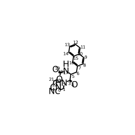 N#CCNC(=O)C(Cc1ccc2ccccc2c1)NC(=O)OCC#N